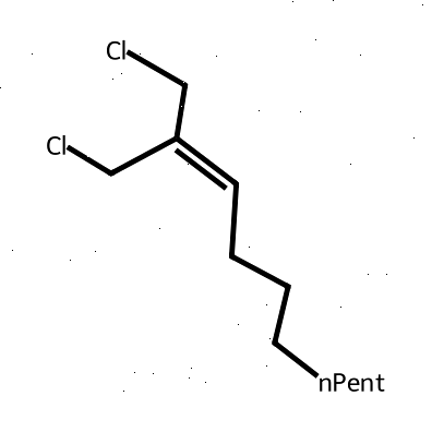 CCCCCCCCC=C(CCl)CCl